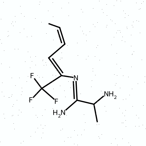 C\C=C/C=C(\N=C(/N)C(C)N)C(F)(F)F